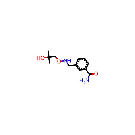 CC(C)(O)CONCc1cccc(C(N)=O)c1